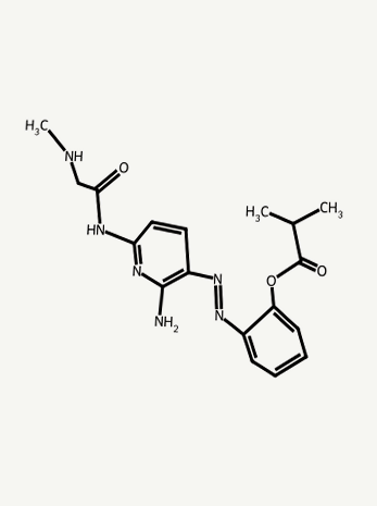 CNCC(=O)Nc1ccc(/N=N/c2ccccc2OC(=O)C(C)C)c(N)n1